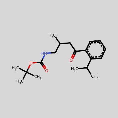 CC(CNC(=O)OC(C)(C)C)CC(=O)c1ccccc1C(C)C